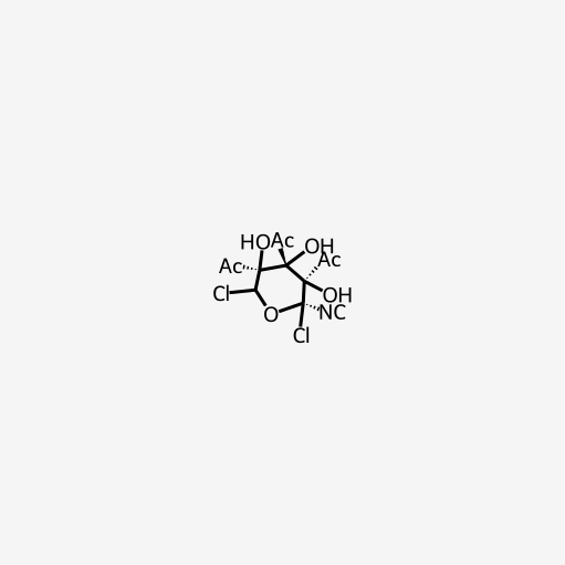 [C-]#[N+][C@]1(Cl)OC(Cl)[C@](O)(C(C)=O)[C@@](O)(C(C)=O)[C@]1(O)C(C)=O